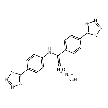 O.O=C(Nc1ccc(-c2nnn[nH]2)cc1)c1ccc(-c2nnn[nH]2)cc1.[NaH].[NaH]